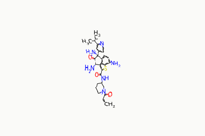 C=CC(=O)N1CCCC(NC(=O)c2sc3c(N)ccc4c3c2C(N)C(=O)C4(N)c2ccnc(C(C)C)c2)C1